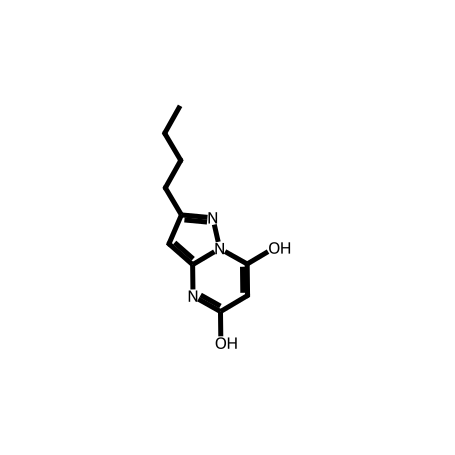 CCCCc1cc2nc(O)cc(O)n2n1